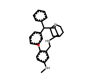 CNc1ccc(OC)c(CNC2C3CCN(CC3)C2C(c2ccccc2)c2ccccc2)c1